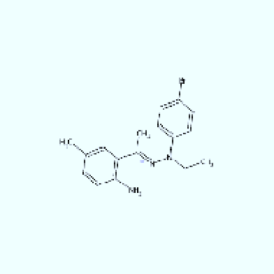 CCN(/N=C(\C)c1cc(C)ccc1N)c1ccc(Br)cc1